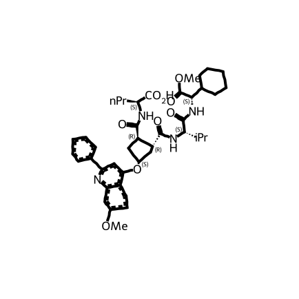 CCC[C@H](NC(=O)[C@@H]1C[C@@H](Oc2cc(-c3ccccc3)nc3cc(OC)ccc23)C[C@H]1C(=O)N[C@H](C(=O)N[C@H](C(=O)OC)C1CCCCC1)C(C)C)C(=O)O